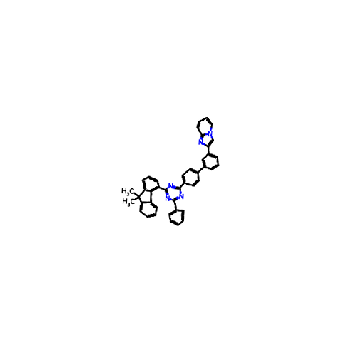 CC1(C)c2ccccc2-c2c(-c3nc(-c4ccccc4)nc(-c4ccc(-c5cccc(-c6cn7ccccc7n6)c5)cc4)n3)cccc21